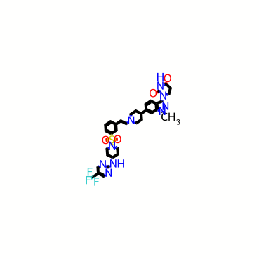 Cn1nc(N2CCC(=O)NC2=O)c2ccc(C3CCN(CCc4cccc(S(=O)(=O)N5CCC(Nc6ncc(C(F)(F)F)cn6)CC5)c4)CC3)cc21